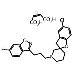 Fc1ccc2c(CCCN3CCCC4(Cc5cc(Cl)ccc5O4)C3)noc2c1.O=C(O)/C=C\C(=O)O